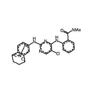 CNC(=O)c1ccccc1Nc1nc(Nc2ccc3c(c2)C2CCC3CN(C(C)=O)C2)ncc1Cl